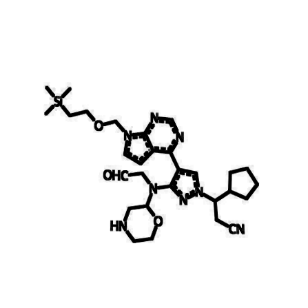 C[Si](C)(C)CCOCn1ccc2c(-c3cn(C(CC#N)C4CCCC4)nc3N(CC=O)C3CNCCO3)ncnc21